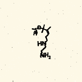 C#[SH](C)OC(C)(C)/C(C)=C\CCNCCN